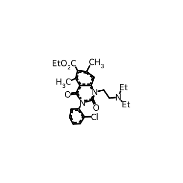 CCOC(=O)c1c(C)cc2c(c1C)c(=O)n(-c1ccccc1Cl)c(=O)n2CCN(CC)CC